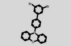 Brc1cc(Br)cc(-c2ccc(N3c4ccccc4Oc4ccccc43)cc2)c1